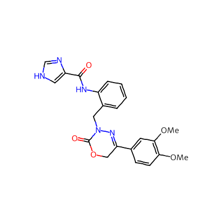 COc1ccc(C2=NN(Cc3ccccc3NC(=O)c3c[nH]cn3)C(=O)OC2)cc1OC